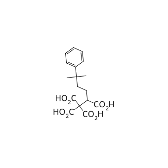 CC(C)(CCC(C(=O)O)C(C(=O)O)(C(=O)O)C(=O)O)c1ccccc1